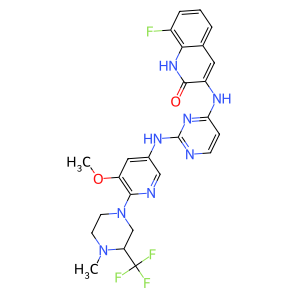 COc1cc(Nc2nccc(Nc3cc4cccc(F)c4[nH]c3=O)n2)cnc1N1CCN(C)C(C(F)(F)F)C1